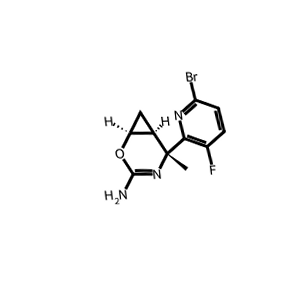 C[C@@]1(c2nc(Br)ccc2F)N=C(N)O[C@H]2C[C@H]21